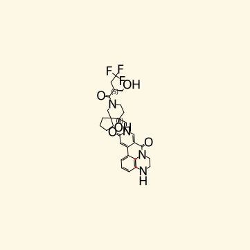 O=C(c1cn(C[C@@]2(O)CCN(C(=O)[C@H](CO)CC(F)(F)F)CC23CCCC3)c(=O)cc1-c1ccccc1)N1CCNCC1